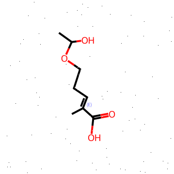 C/C(=C\CCOC(C)O)C(=O)O